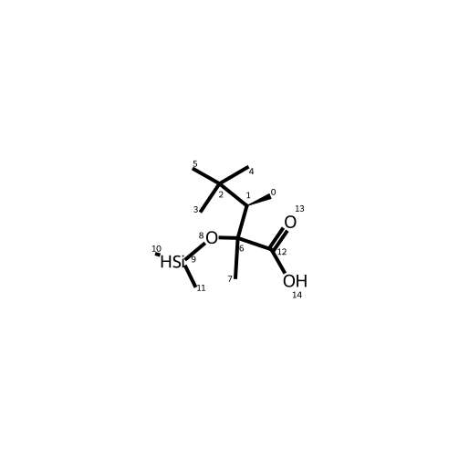 C[C@H](C(C)(C)C)C(C)(O[SiH](C)C)C(=O)O